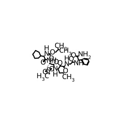 CCCC(NC(=O)[C@H](CS(=O)(=O)CC)NC(=O)[C@@H](NC(=O)OCC(C)C)C1CCCCC1)C(=O)C(=O)NCC(=O)N[C@H](C(N)=O)c1ccccc1